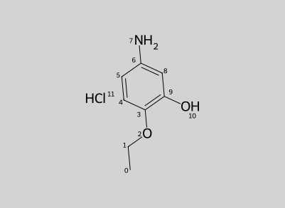 CCOc1ccc(N)cc1O.Cl